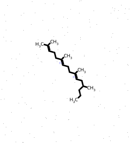 CCCC(C)C/C=C(\C)CC/C=C(\C)CCC=C(C)C